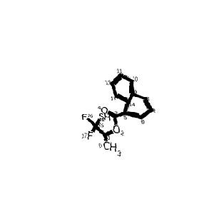 CC(OC(=O)c1cccc2ccccc12)C(F)(F)S